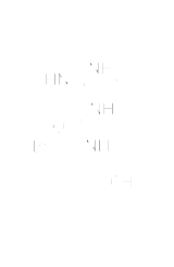 Cc1cccc(Br)c1NC(=O)NC(=N)N